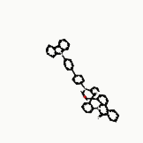 O=c1c2ccccc2c2cccc3c2n1-c1ccccc1C31c2ccccc2N(c2ccc(-c3ccc(-n4c5ccccc5c5ccccc54)cc3)cc2)c2ccccc21